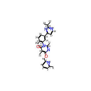 Cc1cccc(COc2nc(C)n(-c3cc(-c4ccnc(C(C)C)n4)ccc3C)c(=O)c2C)n1